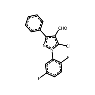 O=Cc1c(-c2ccccc2)nn(-c2cc(F)ccc2F)c1Cl